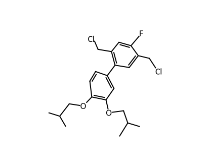 CC(C)COc1ccc(-c2cc(CCl)c(F)cc2CCl)cc1OCC(C)C